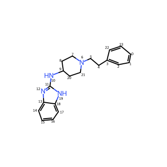 c1ccc(CCN2CCC(Nc3nc4ccccc4[nH]3)CC2)cc1